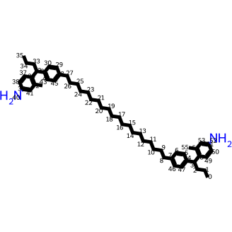 CCCC(c1ccc(CCCCCCCCCCCCCCCCCCCCc2ccc(C(CCC)c3ccc(N)cc3C)cc2)cc1)c1ccc(N)cc1C